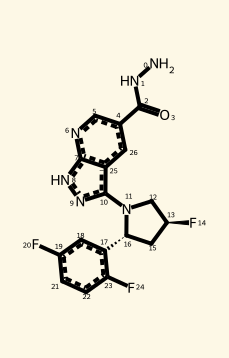 NNC(=O)c1cnc2[nH]nc(N3C[C@@H](F)C[C@@H]3c3cc(F)ccc3F)c2c1